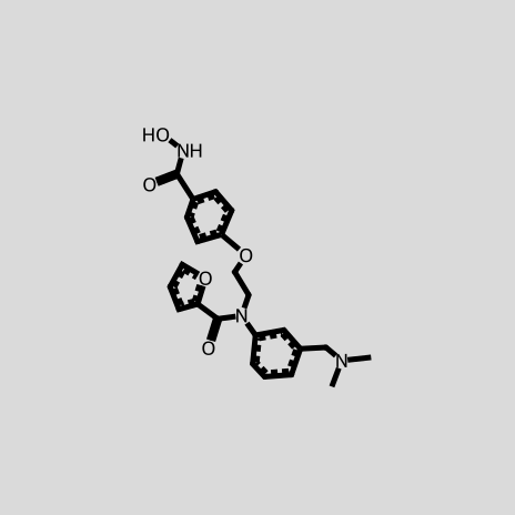 CN(C)Cc1cccc(N(CCOc2ccc(C(=O)NO)cc2)C(=O)c2ccco2)c1